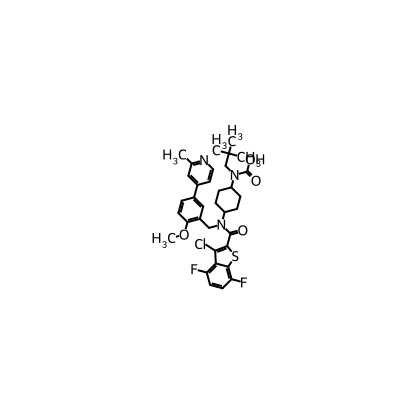 COc1ccc(-c2ccnc(C)c2)cc1CN(C(=O)c1sc2c(F)ccc(F)c2c1Cl)C1CCC(N(CC(C)(C)C)C(=O)O)CC1